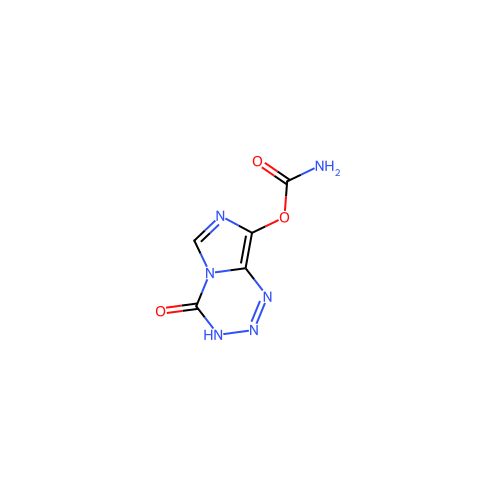 NC(=O)Oc1ncn2c(=O)[nH]nnc12